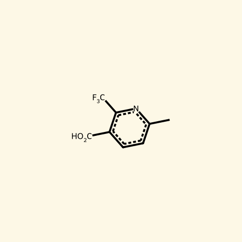 Cc1ccc(C(=O)O)c(C(F)(F)F)n1